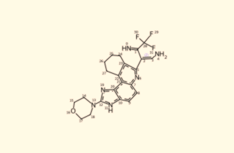 N=C(/C(=C\N)c1nc2ccc3[nH]c(N4CCOCC4)nc3c2c2c1CCCC2)C(F)(F)F